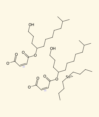 CC(C)CCCCCC(CCCO)OC(=O)/C=C\C(=O)[O-].CC(C)CCCCCC(CCCO)OC(=O)/C=C\C(=O)[O-].CCC[CH2][Sn+2][CH2]CCC